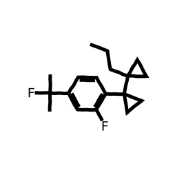 CCCC1(C2(c3ccc(C(C)(C)F)cc3F)CC2)CC1